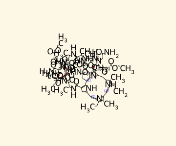 C=CC1=C(C)C2CC3=N/C(=C(/CC(=O)NC(C)C(=O)NC(C)C(=O)NN(CC(N)=O)C(=O)[C@H]4O[C@H]4C(=O)OCC)c4[nH]c(cc4C(=O)NC(C)C(=O)NC(C)C(=O)NN(CC(N)=O)C(=O)[C@H]4O[C@H]4C(=O)OCC)/C=C4N=C(/C=C/1N2)C(C)=C\4CC)[C@@H](CCC(=O)NC(C)C(=O)NC(C)C(=O)NN(CC(N)=O)C(=O)[C@H]1O[C@H]1C(=O)OCC)[C@@H]3C